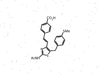 CSc1ccc(Cc2sc(NC(C)=O)nc2C=Cc2ccc(C(=O)O)cc2)cc1